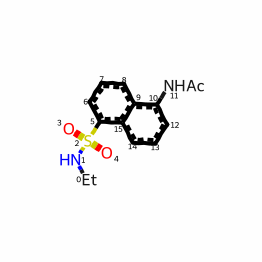 CCNS(=O)(=O)c1cccc2c(NC(C)=O)cccc12